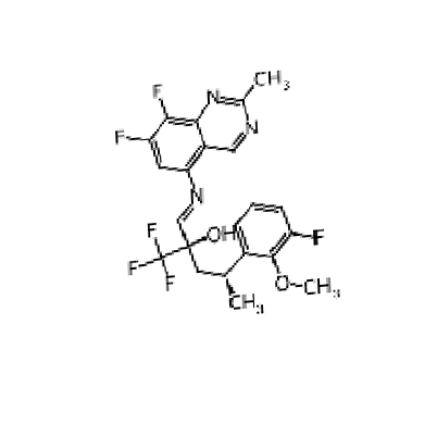 COc1c(F)cccc1[C@@H](C)C[C@@](O)(C=Nc1cc(F)c(F)c2nc(C)ncc12)C(F)(F)F